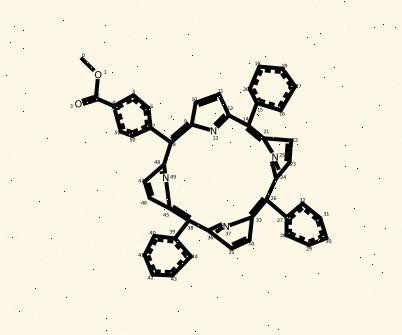 COC(=O)c1ccc(C2=C3C=CC(=N3)C(c3ccccc3)=C3C=CC(=N3)C(c3ccccc3)=C3C=CC(=N3)C(c3ccccc3)=C3C=CC2=N3)cc1